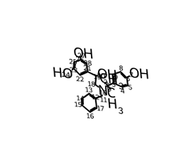 CC(C)(c1ccc(O)cc1)N(Cc1ccccc1)CC(O)c1cc(O)cc(O)c1